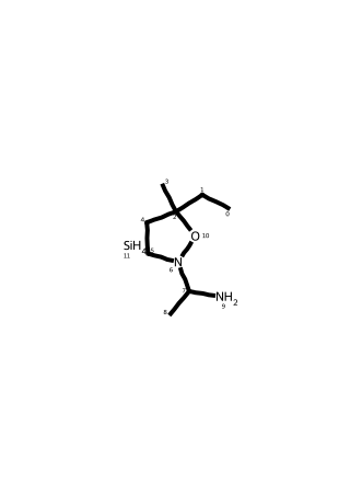 CCC1(C)CCN(C(C)N)O1.[SiH4]